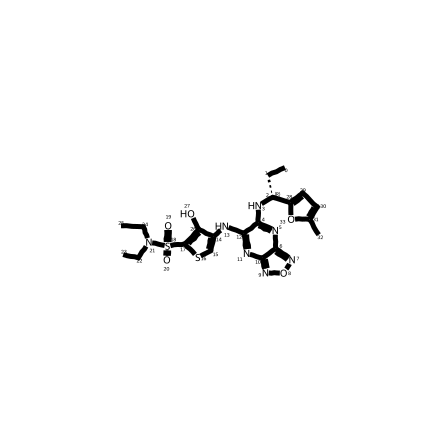 CC[C@@H](Nc1nc2nonc2nc1Nc1csc(S(=O)(=O)N(CC)CC)c1O)c1ccc(C)o1